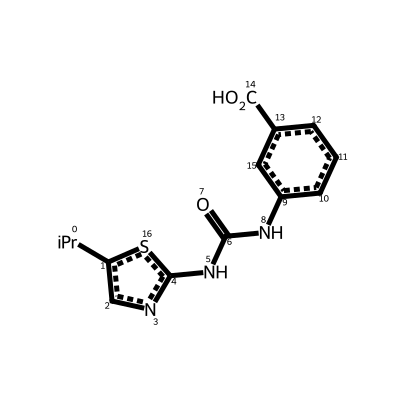 CC(C)c1cnc(NC(=O)Nc2cccc(C(=O)O)c2)s1